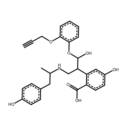 C#CCOc1ccccc1OC(O)C(CNC(C)Cc1ccc(O)cc1)c1cc(O)ccc1C(=O)O